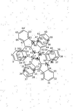 c1ccc(-c2c(N3[Si](c4ccccc4)(c4ccccc4)N(c4c(-c5ccccc5)c5ccccc5n4-c4ccccc4)[Si]3(c3ccccc3)c3ccccc3)n(-c3ccccc3)c3ccccc23)cc1